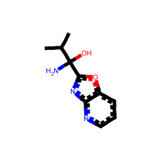 CC(C)C(N)(O)c1nc2ncccc2o1